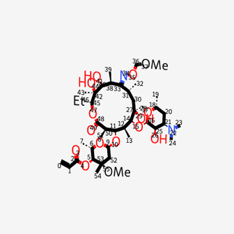 C=CC(=O)O[C@H]1[C@H](C)O[C@@H](O[C@H]2[C@H](C)[C@@H](O[C@@H]3O[C@H](C)C[C@H](N(C)C)[C@H]3O)[C@](C)(O)C[C@@H](C)/C(=N\OCOC)[C@H](C)[C@@H](O)[C@](C)(O)[C@@H](CC)OC(=O)[C@@H]2C)C[C@@]1(C)OC